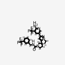 Nc1ncc(-c2cc3n(n2)CC[C@@]32CCN(C(=O)NCc3cccc(C(F)(F)F)c3)C2)cc1C(F)(F)F